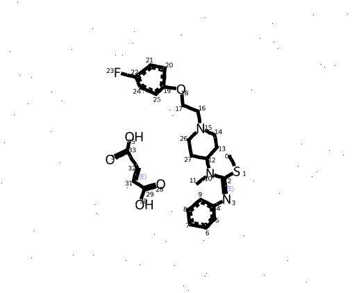 CS/C(=N/c1ccccc1)N(C)C1CCN(CCOc2ccc(F)cc2)CC1.O=C(O)/C=C/C(=O)O